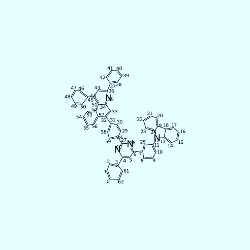 c1ccc(-c2cc(-c3cccc(-n4c5ccccc5c5ccccc54)c3)nc(-c3ccc(-c4cc5nc(-c6ccccc6)cc(-c6ccccc6)c5c5ccccc45)cc3)n2)cc1